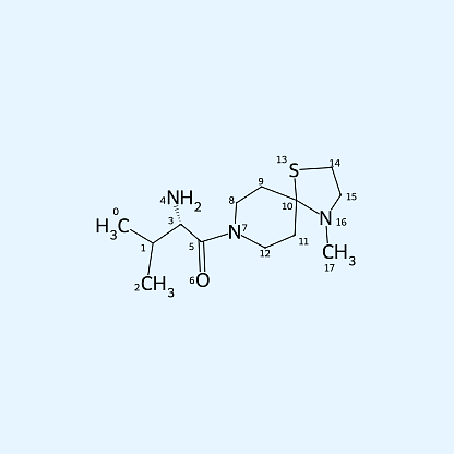 CC(C)[C@H](N)C(=O)N1CCC2(CC1)SCCN2C